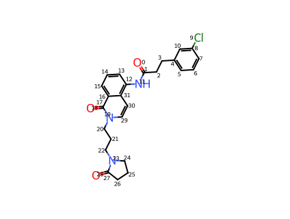 O=C(CCc1cccc(Cl)c1)Nc1cccc2c(=O)n(CCCN3CCCC3=O)ccc12